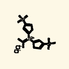 C[C](C)=[Ti+2]([C]1=CC([Si](C)(C)C)=CC1)[C]1=CC([Si](C)(C)C)=CC1.[Cl-].[Cl-]